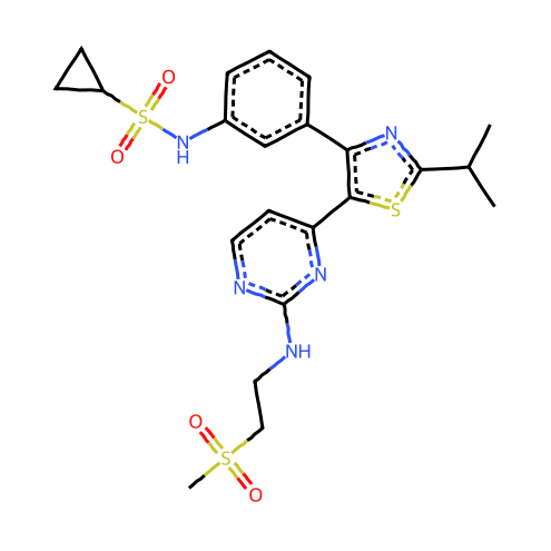 CC(C)c1nc(-c2cccc(NS(=O)(=O)C3CC3)c2)c(-c2ccnc(NCCS(C)(=O)=O)n2)s1